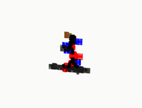 CCCCCCCCCCCCCC(=O)N[C@H](COCC[C@@H](CCCCCCC)OC(=O)CCCCCCCCCCC)COP(=O)(O)OCCNC(=O)[C@@H](NC(=O)Cc1c[nH]c2ccc(Br)cc12)[C@@H](C)CC